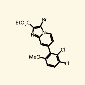 CCOC(=O)c1nc2cc(-c3c(OC)ccc(Cl)c3Cl)ccn2c1Br